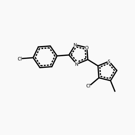 Cc1csc(-c2nc(-c3ccc(Cl)cc3)no2)c1Cl